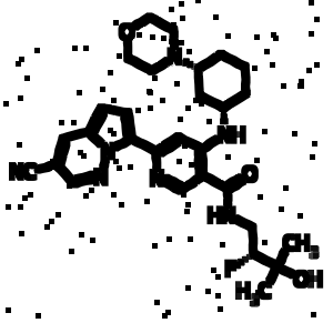 CC(C)(O)[C@H](F)CNC(=O)c1cnc(-c2ccc3cc(C#N)cnn23)cc1N[C@H]1CCC[C@@H](N2CCOCC2)C1